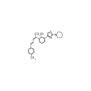 CCOC(=O)C(=CC=Cc1ccc(C(F)(F)F)cc1)c1cccc(-c2csc(N3CCCCC3)n2)c1